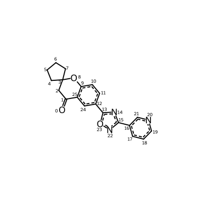 O=C1CC2(CCCC2)Oc2ccc(-c3nc(-c4cccnc4)no3)cc21